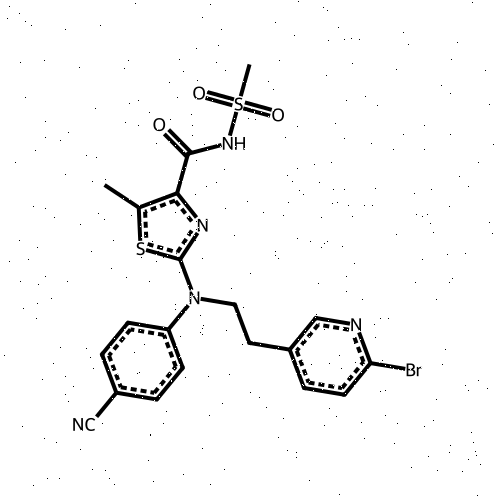 Cc1sc(N(CCc2ccc(Br)nc2)c2ccc(C#N)cc2)nc1C(=O)NS(C)(=O)=O